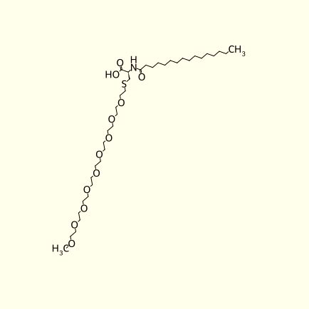 CCCCCCCCCCCCCCCC(=O)N[C@@H](CSCCOCCOCCOCCOCCOCCOCCOCCOCCOC)C(=O)O